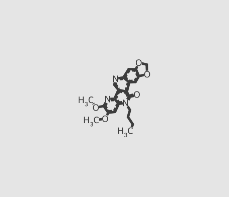 CCCCn1c(=O)c2c3cc4c(cc3ncc2c2nc(OC)c(OC)cc21)OCO4